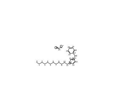 CCCCCCCCCCCCn1cc[n+](Cc2ccccc2)c1.O=C[O-]